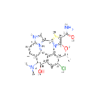 C[C@@H](Oc1nc(-c2cnc3ccc(CN(C)C)cn23)sc1C(N)=O)c1ccc(CO)cc1Cl